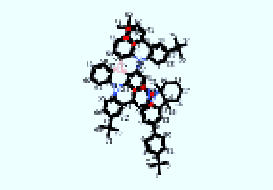 CC(C)(C)c1ccc(-c2ccc3c(c2)C2(C)CCCCC2(C)N3c2cc3c4c(c2)N(c2ccc(C(C)(C)C)cc2-c2ccccc2)c2cc(C(C)(C)C)ccc2B4c2ccccc2N3c2ccc(C(C)(C)C)cc2-c2ccccc2)cc1